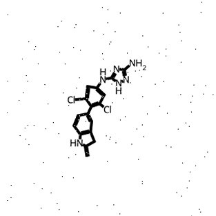 C=C1Cc2cc(-c3c(Cl)cc(Nc4nc(N)n[nH]4)cc3Cl)ccc2N1